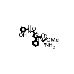 COC(=O)[C@H](CN)NC(=O)c1sc(C(=O)NCc2cccc(O)c2)cc1-c1ccccc1